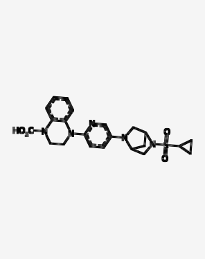 O=C(O)N1CCN(c2ccc(N3CC4CC3CN4S(=O)(=O)C3CC3)cn2)c2ccccc21